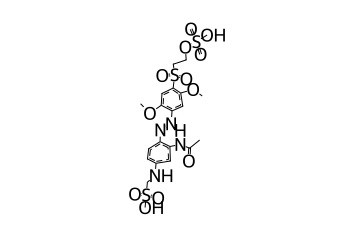 COc1cc(S(=O)(=O)CCOS(=O)(=O)O)c(OC)cc1/N=N/c1ccc(NCS(=O)(=O)O)cc1NC(C)=O